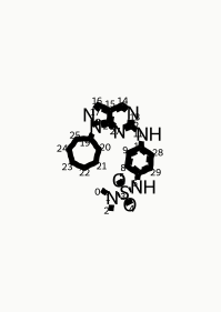 CN(C)S(=O)(=O)Nc1ccc(Nc2ncc3cnn(C4CCCCCC4)c3n2)cc1